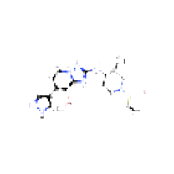 C=C[S+]([O-])N1CCC(Nc2nc3c(OCC)c(-c4cn[nH]c4)ccn3n2)C(C)C1